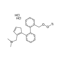 CN(C)CC1=C(c2ccccc2-c2ccccc2CO[O][Ti])CC=C1.Cl.Cl